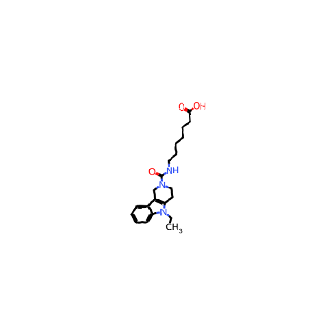 CCn1c2c(c3ccccc31)CN(C(=O)NCCCCCCC(=O)O)CC2